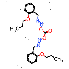 CCCOc1ccccc1CN=NOC(=O)ON=NCc1ccccc1OCCC